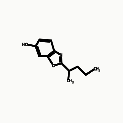 CCCC(C)c1nc2ccc(O)cc2o1